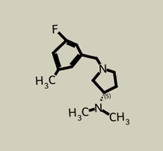 Cc1cc(F)cc(CN2CC[C@H](N(C)C)C2)c1